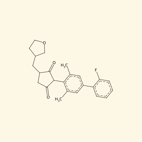 Cc1cc(-c2ccccc2F)cc(C)c1C1C(=O)CC(CC2CCOC2)C1=O